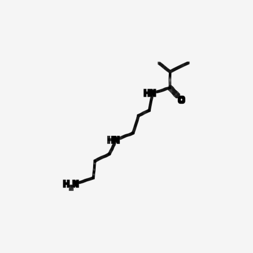 CC(C)C(=O)NCCCNCCCN